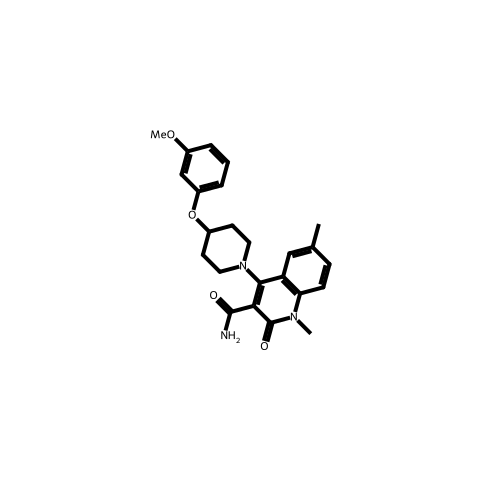 COc1cccc(OC2CCN(c3c(C(N)=O)c(=O)n(C)c4ccc(C)cc34)CC2)c1